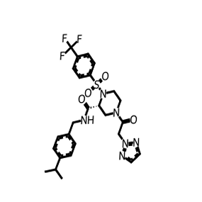 CC(C)c1ccc(CNC(=O)[C@H]2CN(C(=O)Cn3nccn3)CCN2S(=O)(=O)c2ccc(C(F)(F)F)cc2)cc1